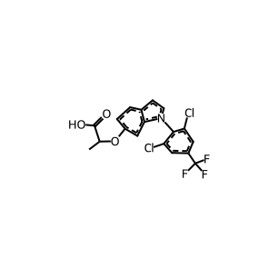 CC(Oc1ccc2ccn(-c3c(Cl)cc(C(F)(F)F)cc3Cl)c2c1)C(=O)O